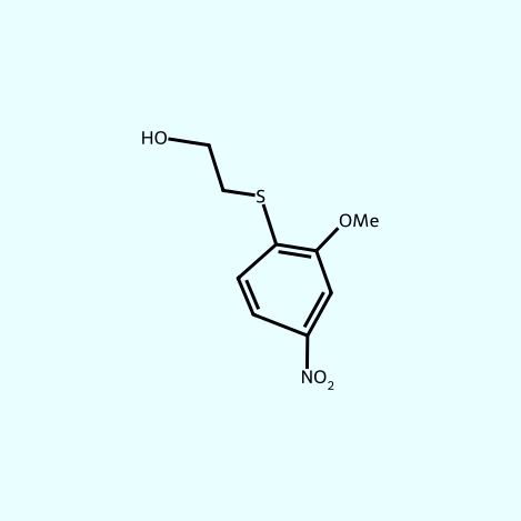 COc1cc([N+](=O)[O-])ccc1SCCO